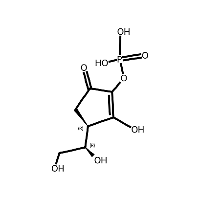 O=C1C[C@H]([C@@H](O)CO)C(O)=C1OP(=O)(O)O